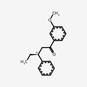 CC[C@@H](CC(=O)c1cccc(OC)c1)c1ccccc1